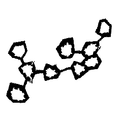 C1=CCC(c2cc(-c3ccccc3)nc(-c3ccc(-c4ccc5ccc6nc(C7=CCCC=C7)cc(-c7ccccc7)c6c5c4)cc3)n2)C=C1